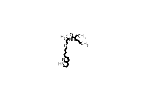 CCCCC(CC)C(=O)NC(C)CCOCCCCc1ccc2c(n1)NCCC2